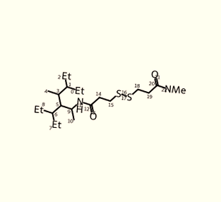 CCC(CC)C(C)C(C(CC)CC)C(C)NC(=O)CCSSCCC(=O)NC